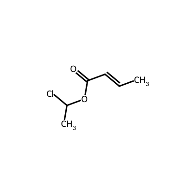 C/C=C/C(=O)OC(C)Cl